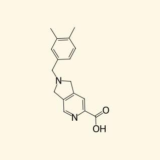 Cc1ccc(CN2Cc3cnc(C(=O)O)cc3C2)cc1C